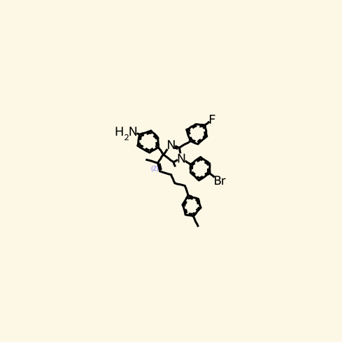 C/C(=C/CCCc1ccc(C)cc1)C1(c2ccc(N)cc2)N=C(c2ccc(F)cc2)N(c2ccc(Br)cc2)C1C